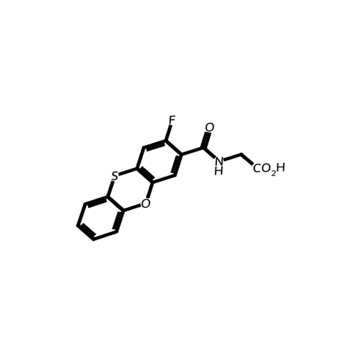 O=C(O)CNC(=O)c1cc2c(cc1F)Sc1ccccc1O2